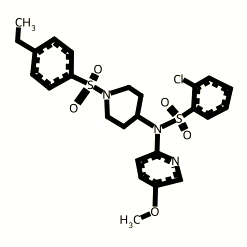 CCc1ccc(S(=O)(=O)N2CCC(N(c3ccc(OC)cn3)S(=O)(=O)c3ccccc3Cl)CC2)cc1